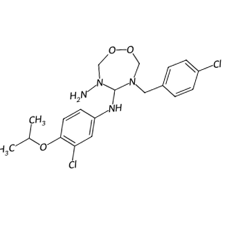 CC(C)Oc1ccc(NC2N(N)COOCN2Cc2ccc(Cl)cc2)cc1Cl